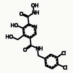 O=C(NCc1ccc(Cl)c(Cl)c1)c1cnc(C(=O)NO)c(O)c1CO